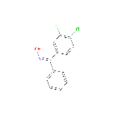 ON=C(c1ccccc1)c1ccc(Cl)c(Cl)c1